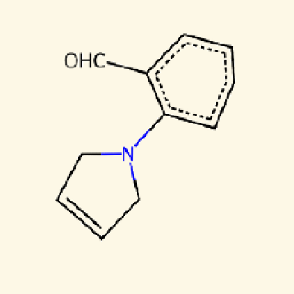 O=Cc1ccccc1N1CC=CC1